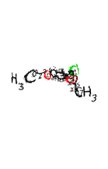 CCCCOc1ccc2cc(Cl)c(OCCCC)cc2c1